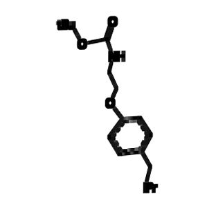 CC(C)Cc1ccc(OCCNC(=O)OC(C)(C)C)cc1